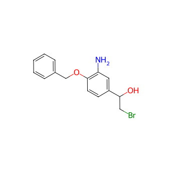 Nc1cc(C(O)CBr)ccc1OCc1ccccc1